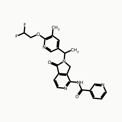 Cc1cc(C(C)N2Cc3c(ccnc3NC(=O)c3cccnc3)C2=O)cnc1OCC(F)F